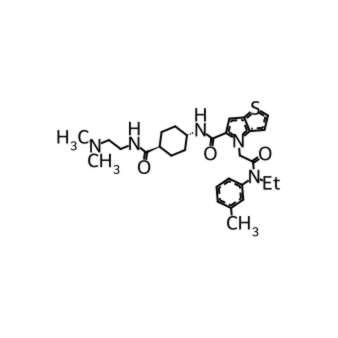 CCN(C(=O)Cn1c(C(=O)N[C@H]2CC[C@H](C(=O)NCCN(C)C)CC2)cc2sccc21)c1cccc(C)c1